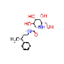 CC(CCNC(=O)[C@H]1N[C@H](CO)[C@@H](O)[C@H](O)[C@@H]1O)c1ccccc1